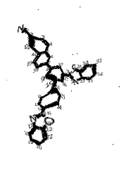 N#Cc1ccc2cc(-c3cc(-c4ccc(-c5nc6ccccc6o5)cc4)cc(-c4nc5ccccc5s4)c3)ccc2c1